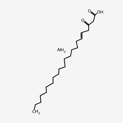 CCCCCCCCCCCCCCCCC=CCC(=O)CC(=O)O.[AlH3]